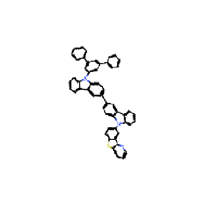 c1ccc(-c2cc(-c3ccccc3)cc(-n3c4ccccc4c4cc(-c5ccc6c(c5)c5ccccc5n6-c5ccc6sc7cccnc7c6c5)ccc43)c2)cc1